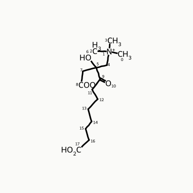 C[N+](C)(C)CC(O)(CC(=O)[O-])C(=O)CCCCCCC(=O)O